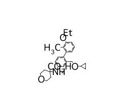 CCOc1cccc(-c2ccc(NC3(C(=O)O)CCOCC3)cc2COC2CC2)c1C